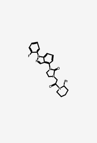 CC(C)[C@H]1CCCCN1C(=O)CN1CCN(c2cccc3c2cnn3-c2ccccc2F)C1=O